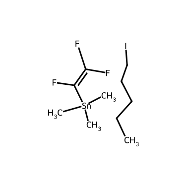 CCCCCI.[CH3][Sn]([CH3])([CH3])[C](F)=C(F)F